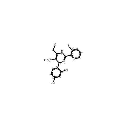 CCOC(=O)C1=C(CBr)NC(c2ncccc2F)=NC1c1ccc(Cl)cc1Cl